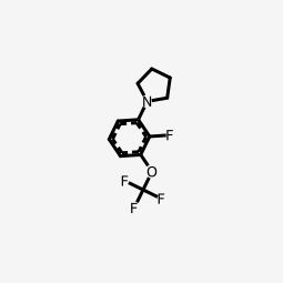 Fc1c(OC(F)(F)F)cccc1N1CCCC1